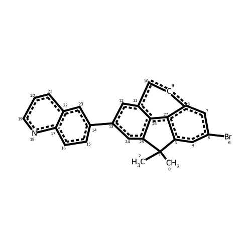 CC1(C)c2cc(Br)cc3ccc4cc(-c5ccc6ncccc6c5)cc1c4c23